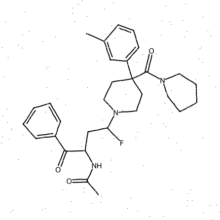 CC(=O)NC(CC(F)N1CCC(C(=O)N2CCCCC2)(c2cccc(C)c2)CC1)C(=O)c1ccccc1